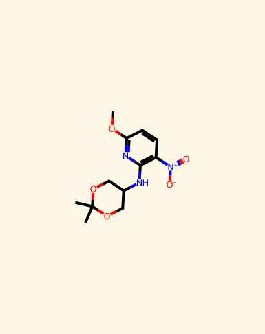 COc1ccc([N+](=O)[O-])c(NC2COC(C)(C)OC2)n1